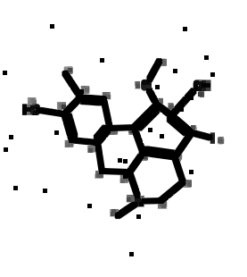 COc1c(O)c(I)c2c3c1-c1cc(C)c(O)cc1CC3N(C)CC2